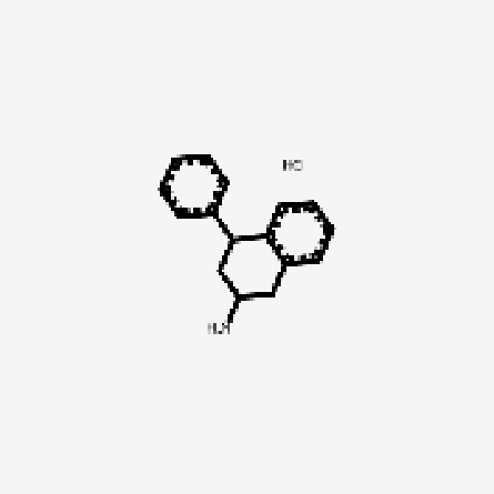 Cl.NC1Cc2ccccc2C(c2ccccc2)C1